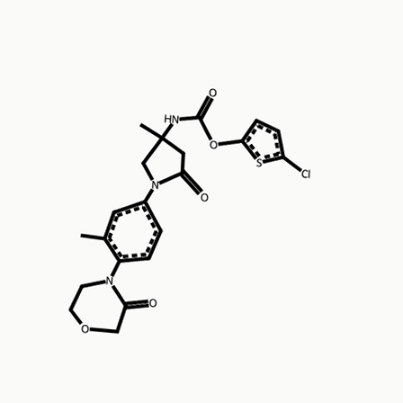 Cc1cc(N2CC(C)(NC(=O)Oc3ccc(Cl)s3)CC2=O)ccc1N1CCOCC1=O